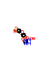 CS(=O)(=O)c1ccc(Oc2ccc(S(=O)(=O)N3CCNCC3C(=O)NO)cc2)cc1